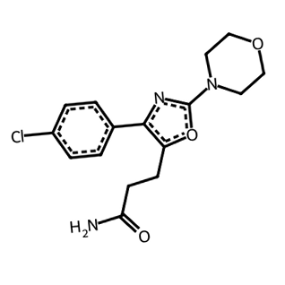 NC(=O)CCc1oc(N2CCOCC2)nc1-c1ccc(Cl)cc1